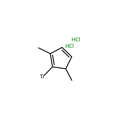 CC1=[C]([Ti])C(C)C=C1.Cl.Cl